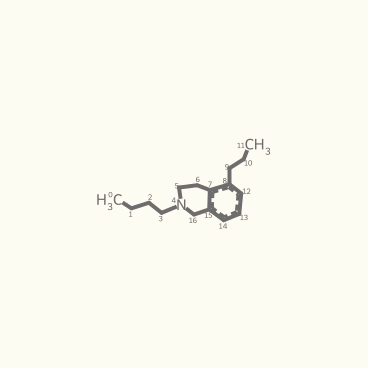 CCCCN1CCc2c(CCC)cccc2C1